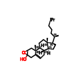 CC(C)CCC[C@@H](C)[C@H]1CC[C@H]2[C@@H]3CC=C4CC5(O)OC5C[C@]4(C)[C@H]3CC[C@]12C